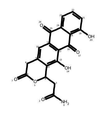 NC(=O)CC1OC(=O)Cc2cc3c(c(O)c21)C(=O)c1c(O)cccc1C3=O